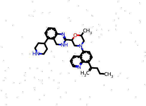 C=C(CCC)c1ccc(N2CC(C)OC(C3=Nc4cccc(C5CCNCC5)c4CN3)C2)c2cccnc12